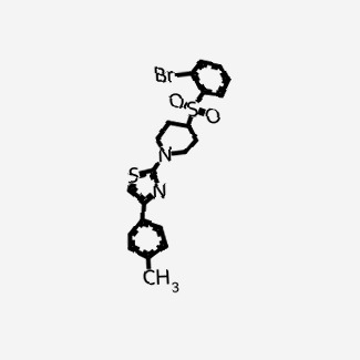 Cc1ccc(-c2csc(N3CCC(S(=O)(=O)c4ccccc4Br)CC3)n2)cc1